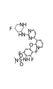 CN(C)S(=O)(=O)Nc1c(F)cc(Oc2ncccc2-c2ccnc(N[C@@H]3CNC[C@@H](F)C3)n2)c(F)c1F